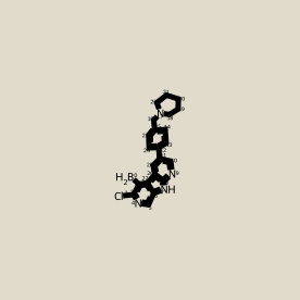 Bc1c(Cl)ncc2[nH]c3ncc(-c4ccc(CN5CCCCC5)cc4)cc3c12